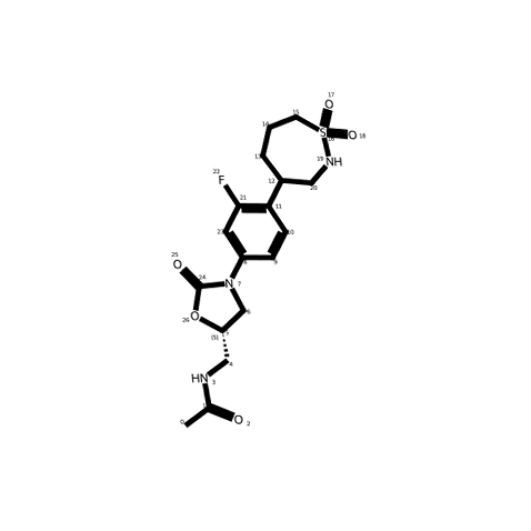 CC(=O)NC[C@H]1CN(c2ccc(C3CCCS(=O)(=O)NC3)c(F)c2)C(=O)O1